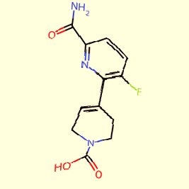 NC(=O)c1ccc(F)c(C2=CCN(C(=O)O)CC2)n1